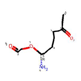 CC(=O)CC[C@H](N)OC=O